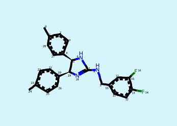 Cc1ccc([C@H]2NC(NCc3ccc(F)c(F)c3)=N[C@H]2c2ccc(C)cc2)cc1